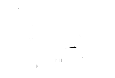 C=CCOC1CN[C@H](C(=O)OC)C1.Cl